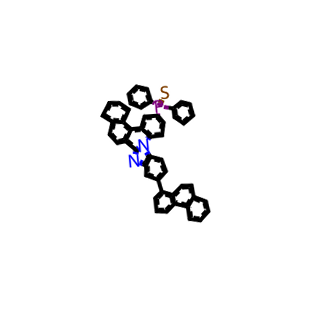 S=P(c1ccccc1)(c1ccccc1)c1ccc2c(c1)c1c3ccccc3ccc1c1nc3cc(-c4cccc5c4ccc4ccccc45)ccc3n21